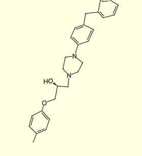 Cc1ccc(OC[C@@H](O)CN2CCN(c3ccc(Cc4ccccc4)cc3)CC2)cc1